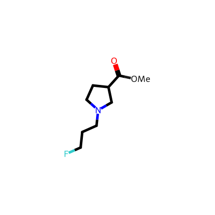 COC(=O)C1CCN(CCCF)C1